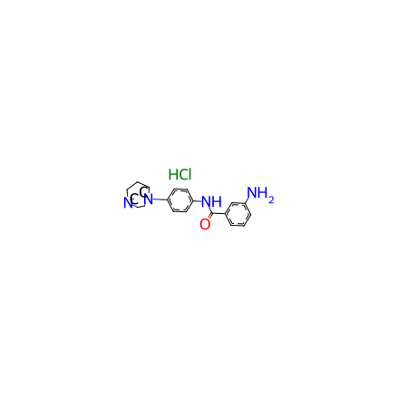 Cl.Nc1cccc(C(=O)Nc2ccc(N3CCN4CCC3CC4)cc2)c1